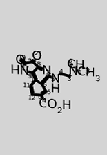 CN(C)CCNc1nc2c(c3ccc(C(=O)O)cc13)NC(=O)C2=O